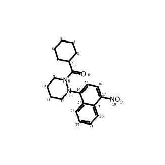 O=C(C1CCCCC1)N1CCCCN1c1ccc([N+](=O)[O-])c2ccccc12